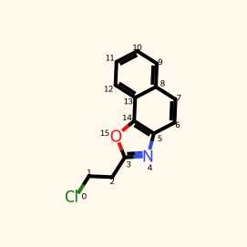 ClCCc1nc2ccc3ccccc3c2o1